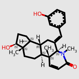 CN1C(=O)C=C[C@]2(C)[C@H]3CC[C@]4(C)[C@@H](O)CC[C@H]4[C@@H]3CC(=Cc3cccc(O)c3)[C@@H]12